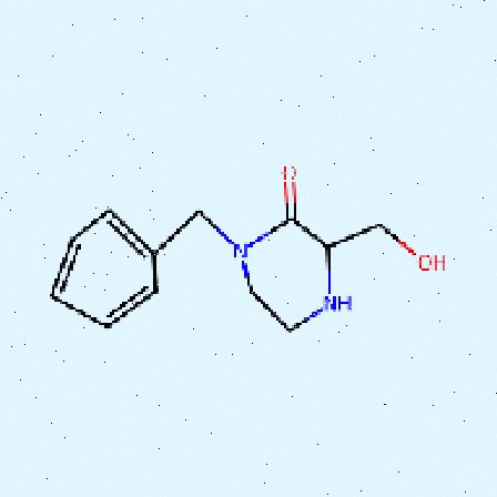 O=C1C(CO)NCCN1Cc1ccccc1